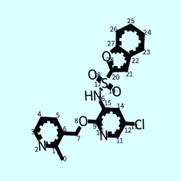 Cc1ncccc1COc1ncc(Cl)cc1NS(=O)(=O)c1cc2ccccc2o1